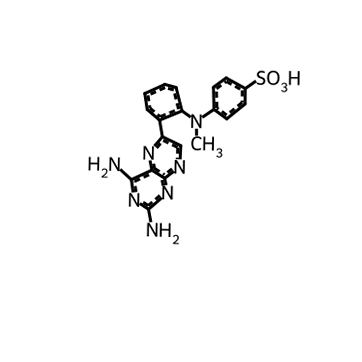 CN(c1ccc(S(=O)(=O)O)cc1)c1ccccc1-c1cnc2nc(N)nc(N)c2n1